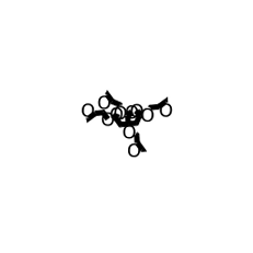 O=C(CC(CC(=O)OCC1CO1)(OCC1CO1)C(=O)OCC1CO1)OCC1CO1